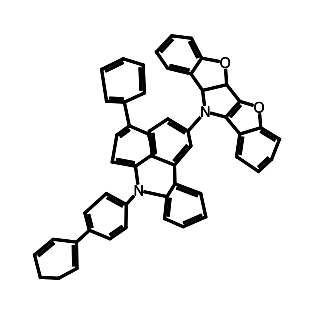 C1=CC(c2ccc(N(C3=CC=C(c4ccccc4)CC3)c3ccccc3-c3cccc(N4c5c(oc6ccccc56)C5Oc6ccccc6C54)c3)cc2)=CCC1